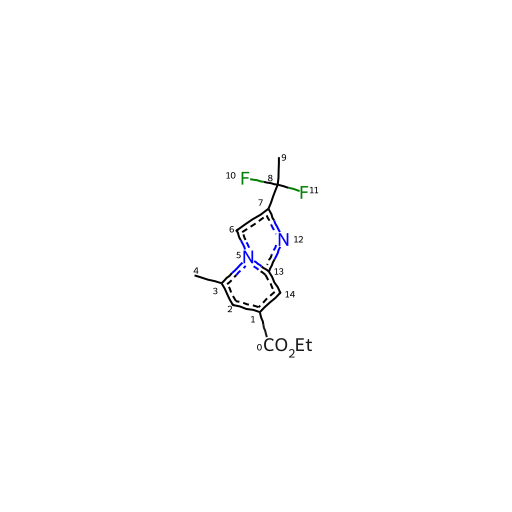 CCOC(=O)c1cc(C)n2cc(C(C)(F)F)nc2c1